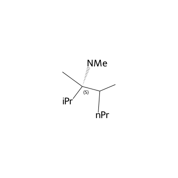 CCCC(C)[C@@](C)(NC)C(C)C